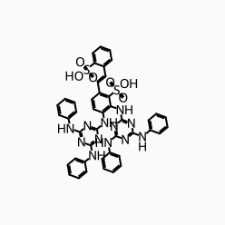 O=S(=O)(O)c1ccccc1C=Cc1ccc(Nc2nc(Nc3ccccc3)nc(Nc3ccccc3)n2)c(Nc2nc(Nc3ccccc3)nc(Nc3ccccc3)n2)c1S(=O)(=O)O